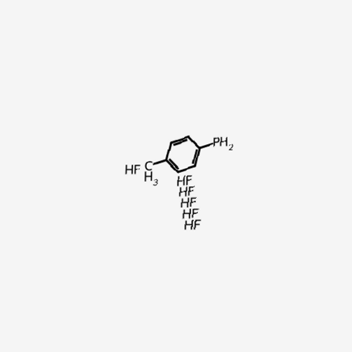 Cc1ccc(P)cc1.F.F.F.F.F.F